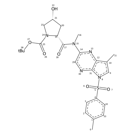 Cc1ccc(S(=O)(=O)n2cc(C)c3nc(N(C)C(=O)[C@H]4C[C@@H](O)CN4C(=O)OC(C)(C)C)cnc32)cc1